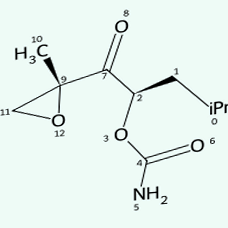 CC(C)C[C@@H](OC(N)=O)C(=O)[C@@]1(C)CO1